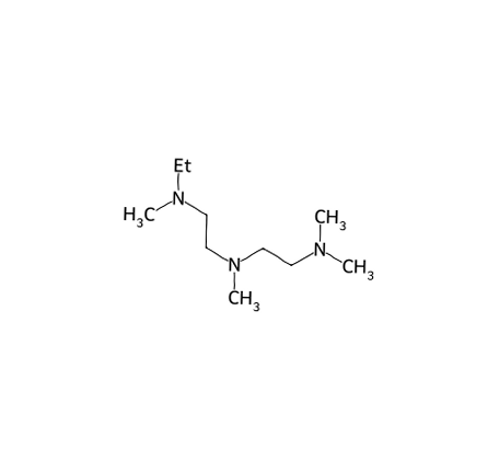 [CH2]CN(C)CCN(C)CCN(C)C